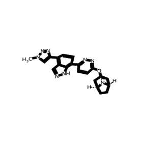 Cn1cc(-c2ccc(-c3ccc(OC4C[C@H]5CC[C@@H](C4)N5)nn3)c3[nH]ncc23)nn1